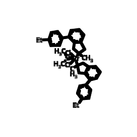 CCc1ccc(-c2cccc3c2C[C](C)([Zr]([Cl])([Cl])(=[Si](C)C)[C]2(C)Cc4cccc(-c5ccc(CC)cc5)c4C2)C3)cc1